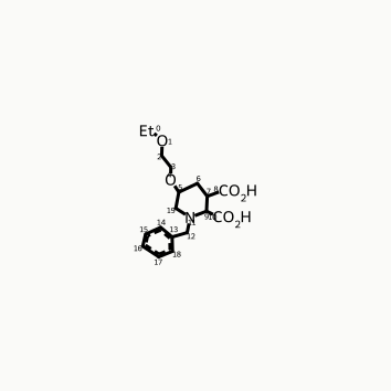 CCOCCOC1CC(C(=O)O)C(C(=O)O)N(Cc2ccccc2)C1